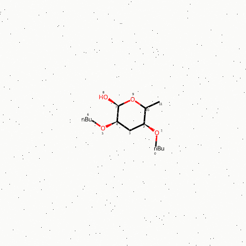 CCCCO[C@H]1C[C@@H](OCCCC)[C@@H](O)OC1C